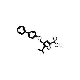 CC(C)c1oc(C(=O)O)cc1COc1ccc(-c2ccccc2)cc1